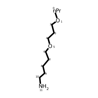 CCCOCCCOCCCCCN